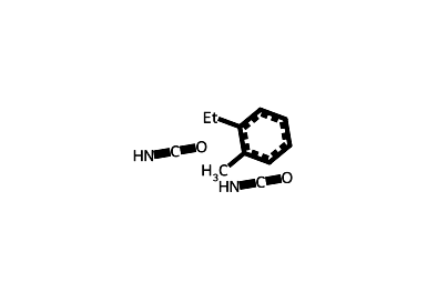 CCc1ccccc1C.N=C=O.N=C=O